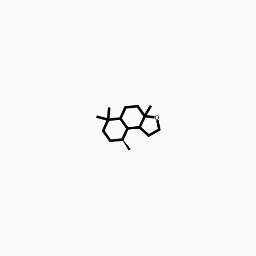 C[C@H]1CCC(C)(C)C2CCC3(C)OCCC3C21